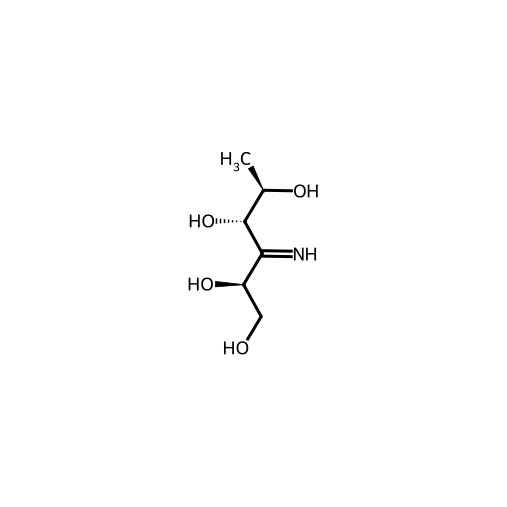 C[C@@H](O)[C@@H](O)C(=N)[C@H](O)CO